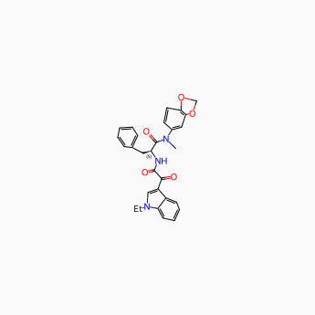 CCn1cc(C(=O)C(=O)N[C@@H](Cc2ccccc2)C(=O)N(C)c2ccc3c(c2)OCO3)c2ccccc21